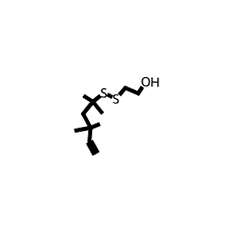 C#CC(C)(C)CC(C)(C)SSCCO